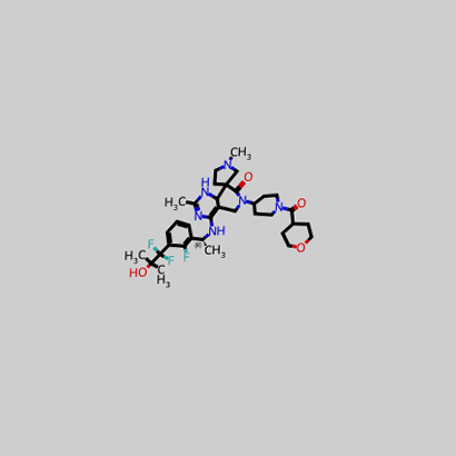 CC1=NC(N[C@H](C)c2cccc(C(F)(F)C(C)(C)O)c2F)=C2CN(C3CCN(C(=O)C4CCOCC4)CC3)C(=O)C3(CCN(C)C3)C2N1